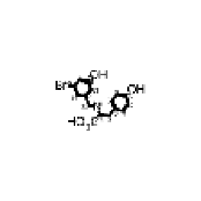 O=C(O)C(Cc1ccc(O)cc1)N=Cc1cc(O)cc(Br)c1